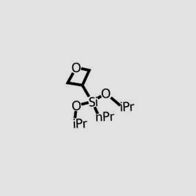 CCC[Si](OC(C)C)(OC(C)C)C1COC1